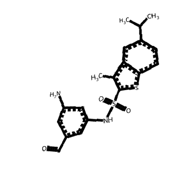 Cc1c(S(=O)(=O)Nc2cc(N)cc(C=O)c2)sc2ccc(C(C)C)cc12